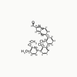 COc1nc(-c2cccc(-c3cccc(-c4ccn5nc(C=O)cc5n4)c3Cl)c2Cl)ccc1C